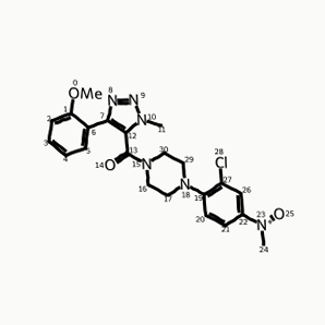 COc1ccccc1-c1nnn(C)c1C(=O)N1CCN(c2ccc([N+](C)=O)cc2Cl)CC1